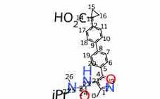 Cc1noc(-c2ccc(-c3ccc(C4(C(=O)O)CC4)cc3)cc2)c1NC(=O)N(C)C(C)C